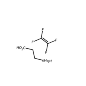 CCCCCCCCCC(=O)O.FC(F)=C(F)F